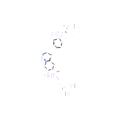 CNC(=O)Nc1ccc(Oc2ccnc3cc(OC)c(C(=O)NOCC(C)C)cc23)cc1Cl